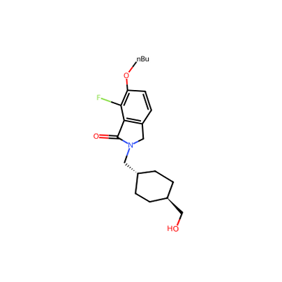 CCCCOc1ccc2c(c1F)C(=O)N(C[C@H]1CC[C@H](CO)CC1)C2